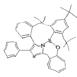 CC(C)(C)c1cc(C(C)(C)C)c2c(c1)C(C)(C)c1ccccc1-c1c(-c3ccccc3)nc3n1B2Oc1ccccc1-3